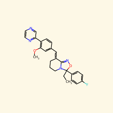 CCC1(c2ccc(F)cc2)ON=C2/C(=C/c3ccc(-c4cnccn4)c(OC)c3)CCCN21